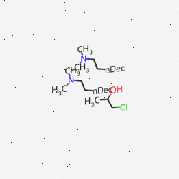 CC(O)CCl.CCCCCCCCCCCCN(C)C.CCCCCCCCCCCCN(C)C